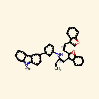 C=C/C(=C/c1c(/C=C\c2coc3ccccc23)oc2ccccc12)Nc1cccc(-c2ccc3c(c2)c2ccccc2n3C(C)(C)C)c1